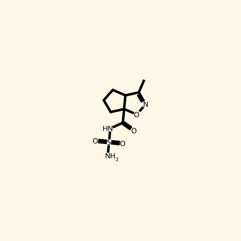 CC1=NOC2(C(=O)NS(N)(=O)=O)CCCC12